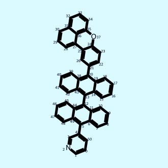 c1cncc(-c2c3ccccc3c(-c3c4ccccc4c(-c4ccc5c(c4)-c4cccc6cccc(c46)O5)c4ccccc34)c3ccccc23)c1